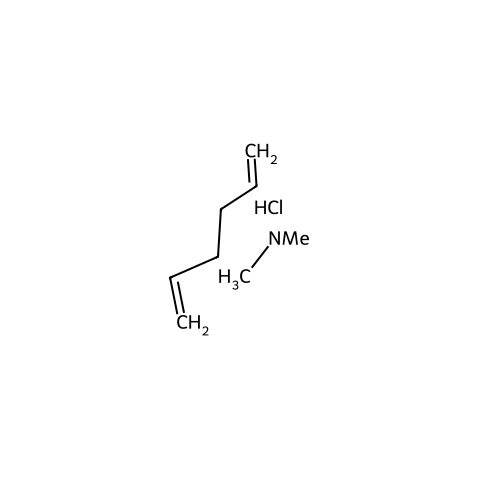 C=CCCC=C.CNC.Cl